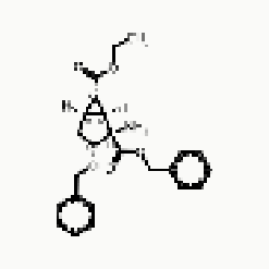 CCOC(=O)[C@H]1[C@@H]2C[C@@H](OCc3ccccc3)[C@@](N)(C(=O)OCc3ccccc3)[C@@H]21